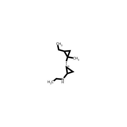 CCNC1C[C@H]1CC1(C)CC1CC